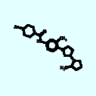 CC(=O)N1CCN(C(=O)Nc2ccc(N3CCC(N4CCCC4C)C3)c(C)c2)CC1